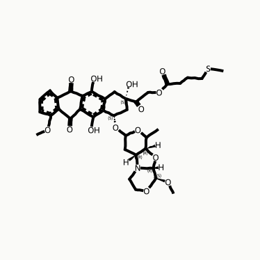 COc1cccc2c1C(=O)c1c(O)c3c(c(O)c1C2=O)C[C@@](O)(C(=O)COC(=O)CCCSC)C[C@@H]3OC1C[C@@H]2[C@@H](O[C@@H]3[C@@H](OC)OCCN23)C(C)O1